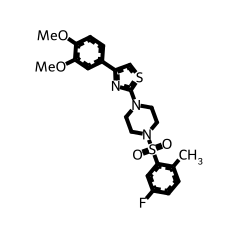 COc1ccc(-c2csc(N3CCN(S(=O)(=O)c4cc(F)ccc4C)CC3)n2)cc1OC